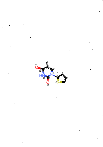 Cc1cn(-c2cccs2)c(=O)[nH]c1=O